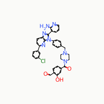 Nc1ncccc1-c1nc2ccc(-c3cccc(Cl)c3)nc2n1-c1ccc(CN2CCN(C(=O)c3ccc(C=O)c(O)c3)CC2)cc1